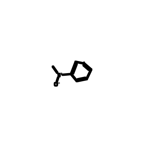 C[S+]([O-])c1c[c]ccc1